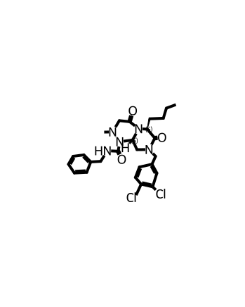 CCCC[C@H]1C(=O)N(Cc2ccc(Cl)c(Cl)c2)C[C@H]2N1C(=O)CN(C)N2C(=O)NCc1ccccc1